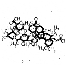 CCC1O[C@@H](OC2[C@H](O[C@H]3CCC4(C)C5CC=C6C7CC(C)(C)CC[C@]7(CSC(C)=O)C(OC)C[C@@]6(C)[C@@]5(C)CC[C@H]4[C@@]3(C)C=O)OC(C(C)=O)[C@@H](C)[C@@H]2O[C@@H]2OC[C@@H](C)[C@@H](C)C2C)C(O[Si](CC)(CC)CC)[C@@H](C)[C@@H]1C